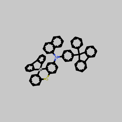 c1ccc(C2(c3ccc(N(c4ccc5c(c4)[Si]4(c6ccccc6S5)c5ccccc5-c5ccccc54)c4cccc5ccccc45)cc3)c3ccccc3-c3ccccc32)cc1